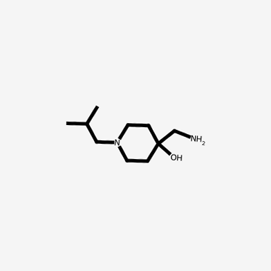 C[C](C)CN1CCC(O)(CN)CC1